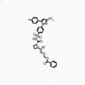 Cc1ccc(-c2cc(C(F)(F)F)nn2-c2ccc(S(=O)(=O)NC(=O)[C@@H]3CCN3[N+]([O-])=NOCOC(=O)c3ccccc3)cc2)cc1